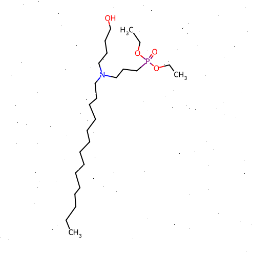 CCCCCCCCCCCCCCN(CCCCO)CCCP(=O)(OCC)OCC